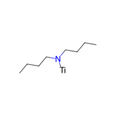 CCCC[N]([Ti])CCCC